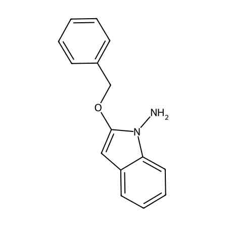 Nn1c(OCc2ccccc2)cc2ccccc21